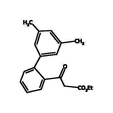 CCOC(=O)CC(=O)c1ccccc1-c1cc(C)cc(C)c1